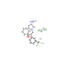 CN[C@H]1CCN(CC(c2cccc(C(F)(F)F)c2)C2(O)CCCCC2)C1.Cl.Cl